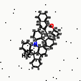 CC1(C)c2ccccc2-c2cccc(N(c3ccccc3)c3cccc4c3-c3ccccc3C43c4ccccc4Oc4c3ccc3ccccc43)c21